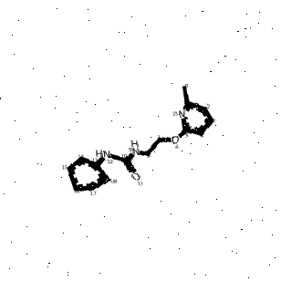 Cc1cccc(OCCNC(=O)Nc2ccccc2)n1